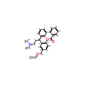 CC(C)N(CCC(c1ccccc1)c1cc(COC=O)ccc1OC(=O)c1ccccc1)C(C)C